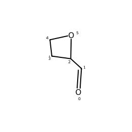 O=CC1[CH]CO1